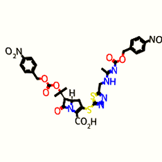 C/C(=N\C(=O)OCc1ccc([N+](=O)[O-])cc1)NCc1nnc(SC2=C(C(=O)O)N3C(=O)[C@@H](C(C)(C)OC(=O)OCc4ccc([N+](=O)[O-])cc4)[C@H]3C2)s1